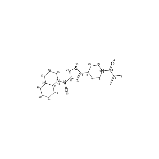 C=C(C)C(=O)N1CCC(c2cc(C(=O)N3CCCC4CCCCC43)cs2)CC1